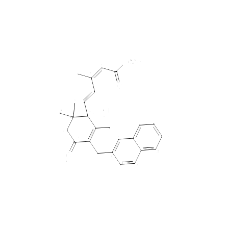 COC(=O)/C=C(C)\C=C\[C@@]1(O)C(C)=C(Cc2ccc3ccccc3c2)C(=O)CC1(C)C